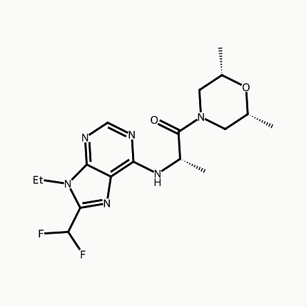 CCn1c(C(F)F)nc2c(N[C@@H](C)C(=O)N3C[C@@H](C)O[C@@H](C)C3)ncnc21